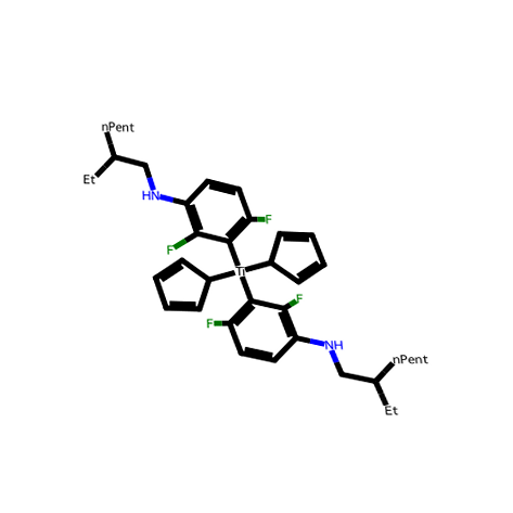 CCCCCC(CC)CNc1ccc(F)[c]([Ti]([c]2c(F)ccc(NCC(CC)CCCCC)c2F)([CH]2C=CC=C2)[CH]2C=CC=C2)c1F